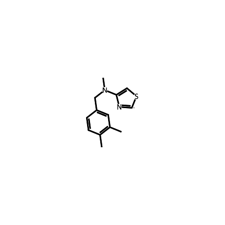 Cc1ccc(CN(C)c2cs[c]n2)cc1C